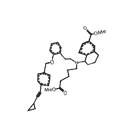 COC(=O)CCCCN(CCc1ccccc1OCc1ccc(C#CC2CC2)cc1)C1CCCc2cc(C(=O)OC)ccc21